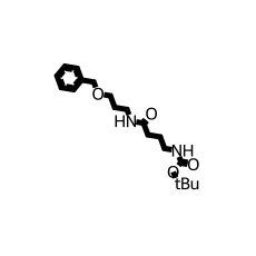 CC(C)(C)OC(=O)NCCCC(=O)NCCCOCc1ccccc1